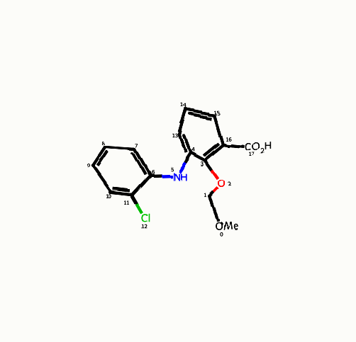 COCOc1c(Nc2ccccc2Cl)cccc1C(=O)O